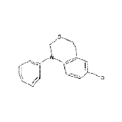 Clc1ccc2c(c1)COCN2c1ccccc1